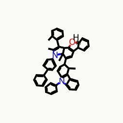 CC1=C(c2ccccc2C)C2C3=C(C=C(C4C=Cc5c(c6ccccc6n5-c5ccccc5)C4C)C2(C)N1c1ccc(-c2ccccc2)cc1)C1C=CC=C[C@H]1O3